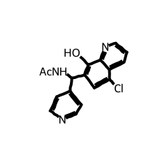 CC(=O)NC(c1ccncc1)c1cc(Cl)c2cccnc2c1O